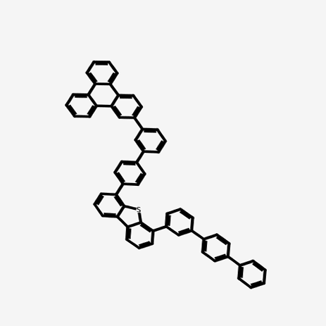 c1ccc(-c2ccc(-c3cccc(-c4cccc5c4sc4c(-c6ccc(-c7cccc(-c8ccc9c%10ccccc%10c%10ccccc%10c9c8)c7)cc6)cccc45)c3)cc2)cc1